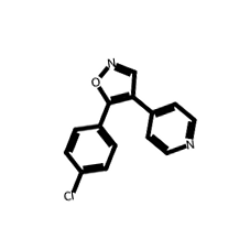 Clc1ccc(-c2oncc2-c2ccncc2)cc1